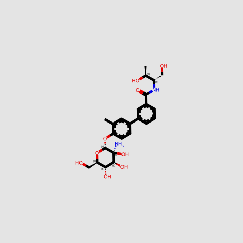 Cc1cc(-c2cccc(C(=O)N[C@@H](CO)[C@H](C)O)c2)ccc1O[C@H]1O[C@H](CO)[C@@H](O)[C@H](O)[C@]1(N)O